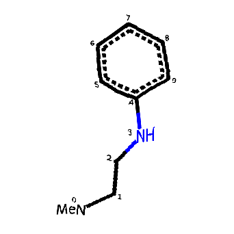 CNCCNc1ccccc1